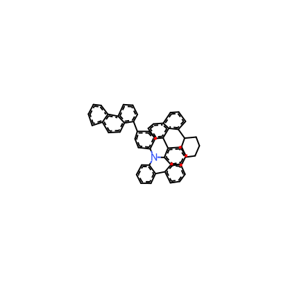 c1ccc(-c2ccccc2N(c2ccc(-c3cccc4c3ccc3ccccc34)cc2)c2ccccc2-c2cccc3cccc(C4CCCCC4)c23)cc1